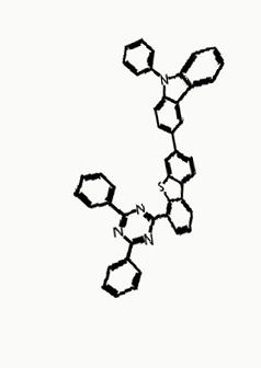 c1ccc(-c2nc(-c3ccccc3)nc(-c3cccc4c3sc3cc(-c5ccc6c(c5)c5ccccc5n6-c5ccccc5)ccc34)n2)cc1